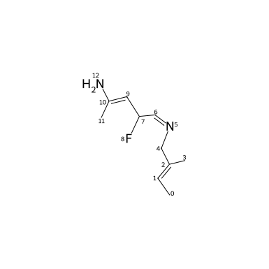 C/C=C(\C)C/N=C\C(F)/C=C(\C)N